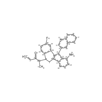 C=CC(=O)N(C)C1Cn2c(c(-c3cnc4ccccc4c3)c3c(N)ncnc32)-c2cc(F)ccc21